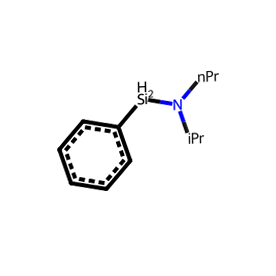 CCCN([SiH2]c1ccccc1)C(C)C